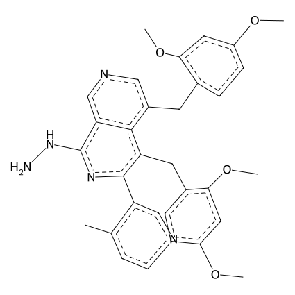 COc1ccc(Cc2cncc3c(NN)nc(-c4cnccc4C)c(Cc4ccc(OC)cc4OC)c23)c(OC)c1